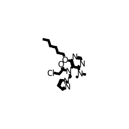 CCCCCCOc1ncnc(N(C)C)c1N(Cn1cccn1)C(=O)CCl